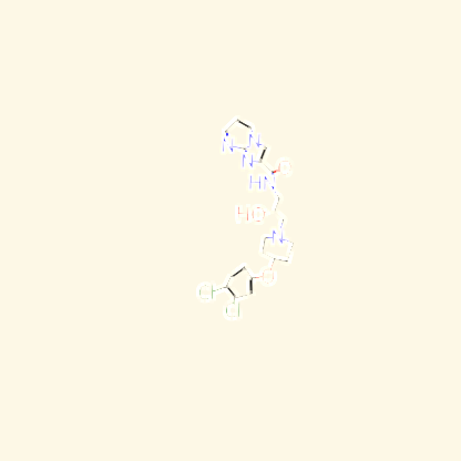 O=C(NC[C@@H](O)CN1CCC(Oc2ccc(Cl)c(Cl)c2)CC1)c1cn2cccnc2n1